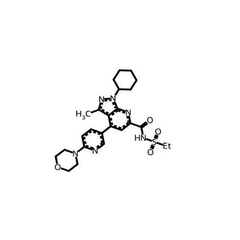 CCS(=O)(=O)NC(=O)c1cc(-c2ccc(N3CCOCC3)nc2)c2c(C)nn(C3CCCCC3)c2n1